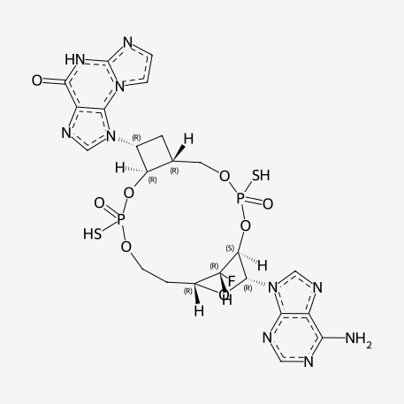 Nc1ncnc2c1ncn2[C@@H]1O[C@@H]2CCOP(=O)(S)O[C@@H]3[C@@H](COP(=O)(S)O[C@@H]1[C@@H]2F)C[C@H]3n1cnc2c(=O)[nH]c3nccn3c21